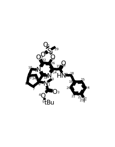 CN(C(=O)OC(C)(C)C)C12CCC(Cn3c1nc(C(=O)NCc1ccc(F)cc1)c(OS(C)(=O)=O)c3=O)C2